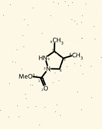 COC(=O)N1CC(C)C(C)N1